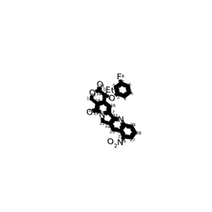 CC[C@@]1(Oc2cccc(F)c2)C(=O)OCc2c1cc1n(c2=O)Cc2cc3c([N+](=O)[O-])cccc3nc2-1